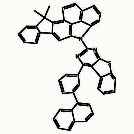 CC1(C)c2ccccc2-c2cc3c4c(ccc5cccc(c54)n3-c3nc(-c4cccc(-c5cccc6ccccc56)c4)c4c(n3)sc3ccccc34)c21